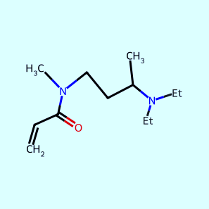 C=CC(=O)N(C)CCC(C)N(CC)CC